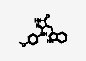 COc1ccc(NC2=NNC(=O)C2=Cc2c[nH]c3ccccc23)cc1